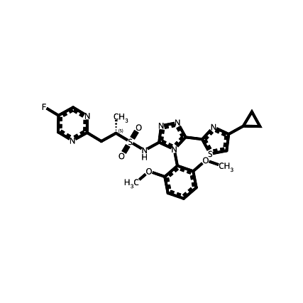 COc1cccc(OC)c1-n1c(NS(=O)(=O)[C@@H](C)Cc2ncc(F)cn2)nnc1-c1nc(C2CC2)cs1